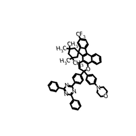 CC1(C)CC(C)(C)CC2(C1)c1cc(C(F)(F)F)ccc1-c1c2c2c(c3ccccc13)OC(c1ccc(-c3nc(-c4ccccc4)nc(-c4ccccc4)n3)cc1)(c1ccc(N3CCOCC3)cc1)C=C2